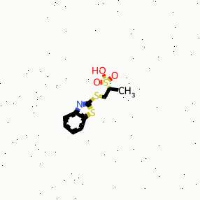 CC(CSc1nc2ccccc2s1)S(=O)(=O)O